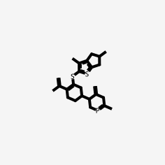 C=C(C)C1=C(Sc2sc3c(c2C)CC(C)C3)CC(C2CP=C(C)CC2=C)CC1